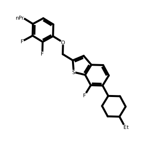 CCCc1ccc(OCc2cc3ccc(C4CCC(CC)CC4)c(F)c3s2)c(F)c1F